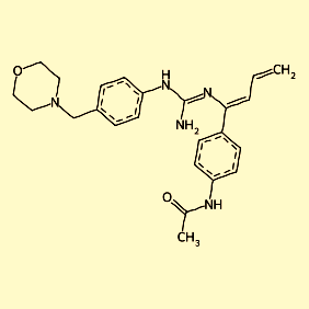 C=C/C=C(\N=C(/N)Nc1ccc(CN2CCOCC2)cc1)c1ccc(NC(C)=O)cc1